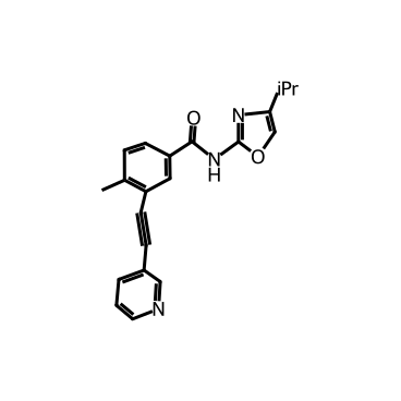 Cc1ccc(C(=O)Nc2nc(C(C)C)co2)cc1C#Cc1cccnc1